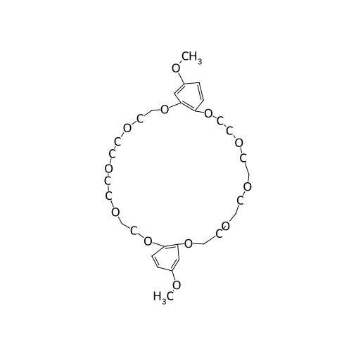 COc1ccc2c(c1)OCCOCCOCCOCCOc1ccc(OC)cc1OCCOCCOCCOCCO2